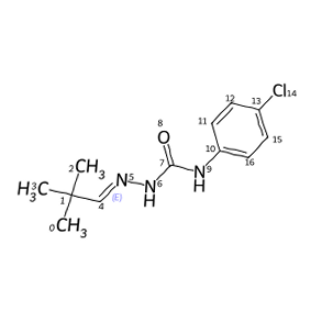 CC(C)(C)/C=N/NC(=O)Nc1ccc(Cl)cc1